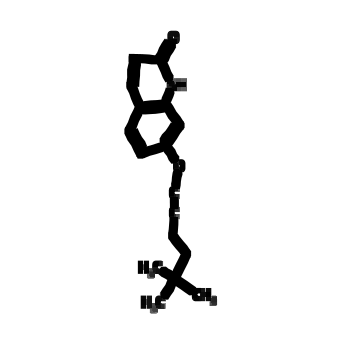 CC(C)(C)CCCCOc1ccc2ccc(=O)[nH]c2c1